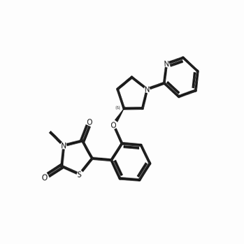 CN1C(=O)SC(c2ccccc2O[C@H]2CCN(c3ccccn3)C2)C1=O